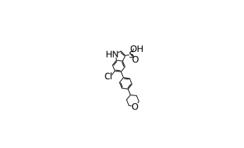 O=S(O)c1c[nH]c2cc(Cl)c(-c3ccc(C4CCOCC4)cc3)cc12